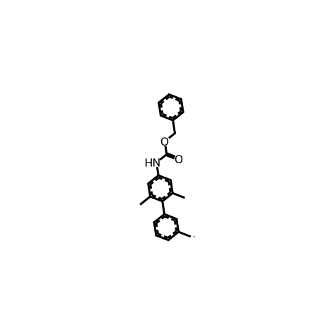 [CH2]c1cccc(-c2c(C)cc(NC(=O)OCc3ccccc3)cc2C)c1